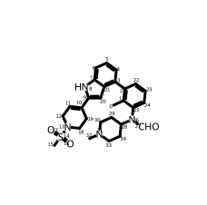 Cc1c(-c2cccc3[nH]c(C4=CCN(S(C)(=O)=O)CC4)cc23)cccc1N(C=O)C1CCN(C)CC1